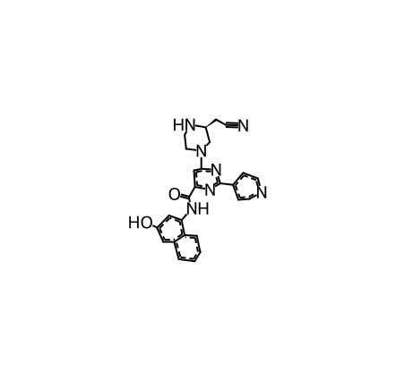 N#CC[C@H]1CN(c2cc(C(=O)Nc3cc(O)cc4ccccc34)nc(-c3ccncc3)n2)CCN1